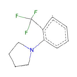 FC(F)(F)c1[c]cccc1N1CCCC1